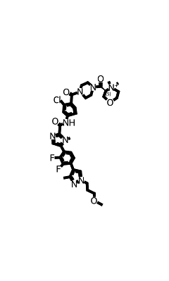 COCCCn1cc(-c2ccc(-c3cnc(C(=O)Nc4ccc(C(=O)N5CCN(C(=O)[C@@H]6COCC[N+]6(C)C)CC5)c(Cl)c4)n3C)c(F)c2F)c(C)n1